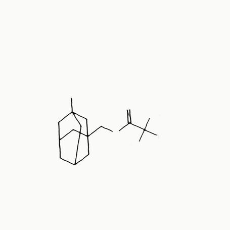 O=C(OCC12CC3CC(CC(O)(C3)C1)C2)C(F)(C(F)(F)F)S(=O)(=O)O